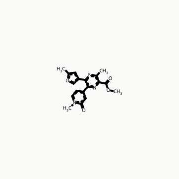 COC(=O)c1nc(-c2ccn(C)c(=O)c2)c(-c2coc(C)c2)nc1C